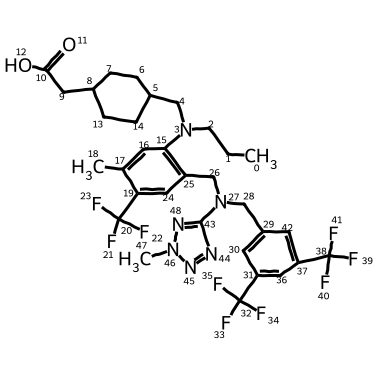 CCCN(CC1CCC(CC(=O)O)CC1)c1cc(C)c(C(F)(F)F)cc1CN(Cc1cc(C(F)(F)F)cc(C(F)(F)F)c1)c1nnn(C)n1